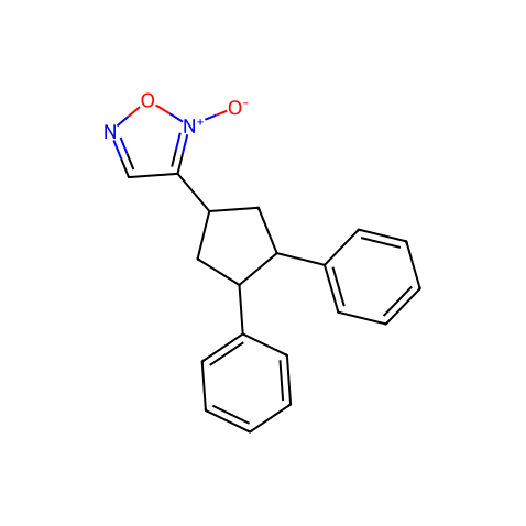 [O-][n+]1oncc1C1CC(c2ccccc2)C(c2ccccc2)C1